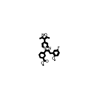 COC(=O)C1CCC=C(c2c(Cc3cc(F)ccc3OC)nc3cc(-c4c(C)noc4C)ccn23)C1